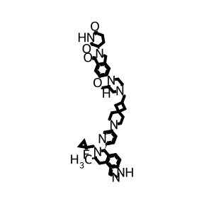 C[C@@H]1Cc2c(ccc3[nH]ncc23)[C@@H](c2ccc(N3CCC4(CC3)CC(CN3CCN5c6cc7c(cc6OC[C@@H]5C3)C(=O)N([C@@H]3CCC(=O)NC3=O)C7)C4)cn2)N1CC1(F)CC1